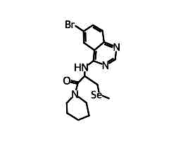 C[Se]CC(Nc1ncnc2ccc(Br)cc12)C(=O)N1CCCCC1